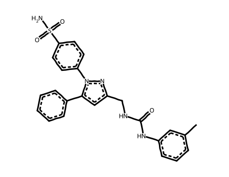 Cc1cccc(NC(=O)NCc2cc(-c3ccccc3)n(-c3ccc(S(N)(=O)=O)cc3)n2)c1